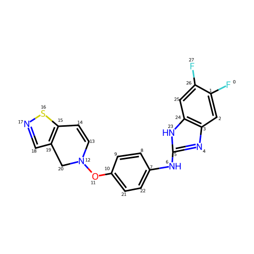 Fc1cc2nc(Nc3ccc(ON4C=Cc5sncc5C4)cc3)[nH]c2cc1F